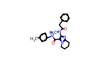 Cc1ccc(NC(=O)c2c(N(C)C(=O)Cc3ccccc3)nc3n2CCCC3)cc1